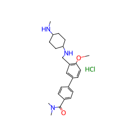 CNC1CCC(NCc2cc(-c3ccc(C(=O)N(C)C)cc3)ccc2OC)CC1.Cl